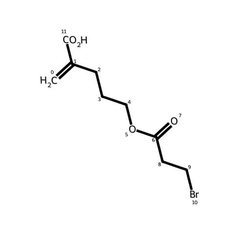 C=C(CCCOC(=O)CCBr)C(=O)O